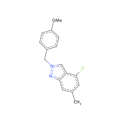 COc1ccc(Cn2cc3c(F)cc(C)cc3n2)cc1